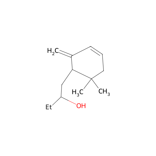 C=C1C=CCC(C)(C)C1CC(O)CC